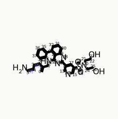 C=C(/C=C\C=C/N)CNc1nc(-c2cncc(S(=O)(=O)N(CCO)CCO)c2)nc2cccc(-c3ccccc3)c12